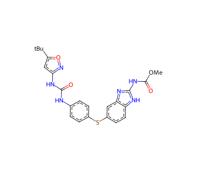 COC(=O)Nc1nc2cc(Sc3ccc(NC(=O)Nc4cc(C(C)(C)C)on4)cc3)ccc2[nH]1